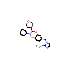 Cc1nccn1Cc1ccc(SN(C(=O)C2CCOCC2)c2ccccc2)cc1